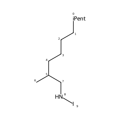 CCCC(C)CCCCC(C)CNI